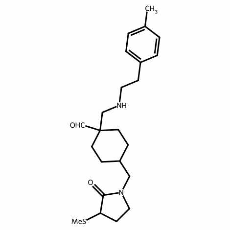 CSC1CCN(CC2CCC(C=O)(CNCCc3ccc(C)cc3)CC2)C1=O